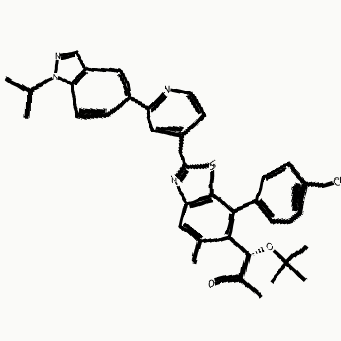 CC(=O)[C@@H](OC(C)(C)C)c1c(C)cc2nc(-c3ccnc(-c4ccc5c(cnn5C(C)C)c4)c3)sc2c1-c1ccc(Cl)cc1